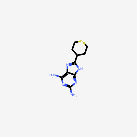 Nc1nc(N)c2nc(C3CCSCC3)[nH]c2n1